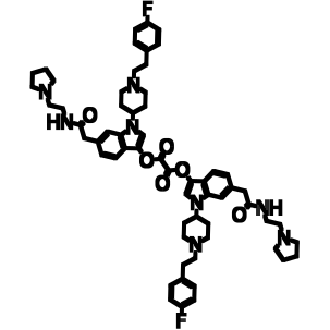 O=C(Cc1ccc2c(OC(=O)C(=O)Oc3cn(C4CCN(CCc5ccc(F)cc5)CC4)c4cc(CC(=O)NCCN5CCCC5)ccc34)cn(C3CCN(CCc4ccc(F)cc4)CC3)c2c1)NCCN1CCCC1